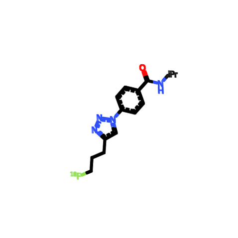 CC(C)NC(=O)c1ccc(-n2cc(CCC[18F])nn2)cc1